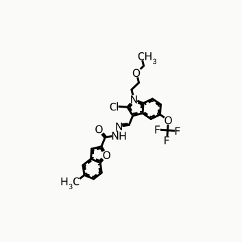 CCOCCn1c(Cl)c(C=NNC(=O)c2cc3cc(C)ccc3o2)c2cc(OC(F)(F)F)ccc21